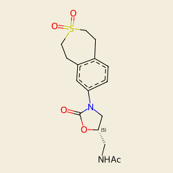 CC(=O)NC[C@H]1CN(c2ccc3c(c2)CCS(=O)(=O)CC3)C(=O)O1